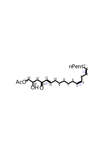 CCCCC/C=C\C/C=C\CCCCC/C=C/C(=O)CC(O)COC(C)=O